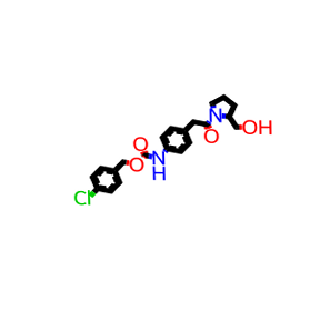 O=C(Nc1ccc(CC(=O)N2CCCC2CO)cc1)OCc1ccc(Cl)cc1